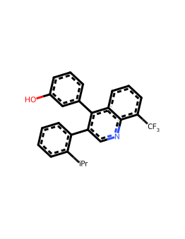 CC(C)c1ccccc1-c1cnc2c(C(F)(F)F)cccc2c1-c1cccc(O)c1